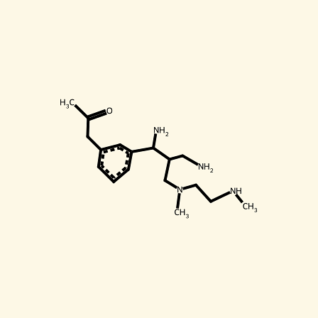 CNCCN(C)CC(CN)C(N)c1cccc(CC(C)=O)c1